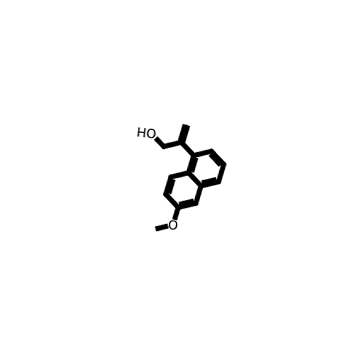 C=C(CO)c1cccc2cc(OC)ccc12